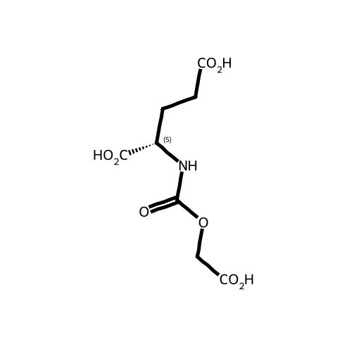 O=C(O)CC[C@H](NC(=O)OCC(=O)O)C(=O)O